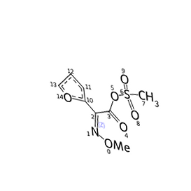 CO/N=C(\C(=O)OS(C)(=O)=O)c1ccco1